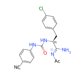 CC(=O)/N=C(\N)[C@H](Cc1ccc(Cl)cc1)NC(=O)Nc1ccc(C#N)cc1